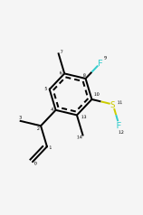 C=CC(C)c1cc(C)c(F)c(SF)c1C